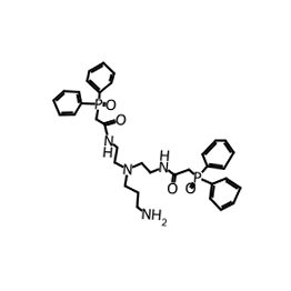 NCCCN(CCNC(=O)CP(=O)(c1ccccc1)c1ccccc1)CCNC(=O)CP(=O)(c1ccccc1)c1ccccc1